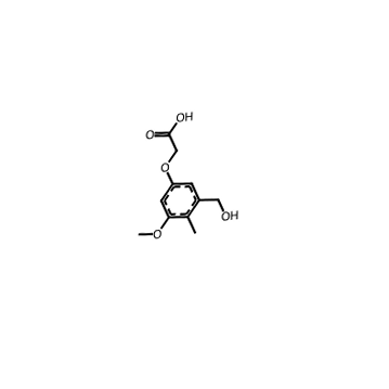 COc1cc(OCC(=O)O)cc(CO)c1C